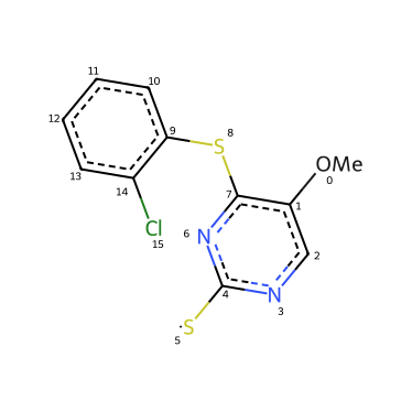 COc1cnc([S])nc1Sc1ccccc1Cl